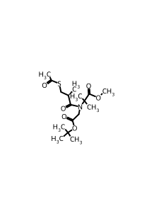 COC(=O)C(C)(C)N(CC(=O)OC(C)(C)C)C(=O)[C@H](C)CSC(C)=O